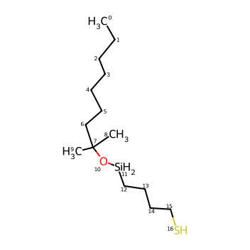 CCCCCCCC(C)(C)O[SiH2]CCCCS